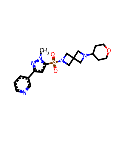 Cn1nc(-c2cccnc2)cc1S(=O)(=O)N1CC2(CN(C3CCOCC3)C2)C1